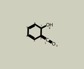 O=C=C1C=CC=CC1O